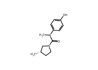 C[C@H]1CCN(C(=O)N(C)c2ccc(O)cc2)C1